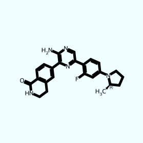 C[C@@H]1CCCN1c1ccc(-c2cnc(N)c(-c3ccc4c(c3)CCNC4=O)n2)c(F)c1